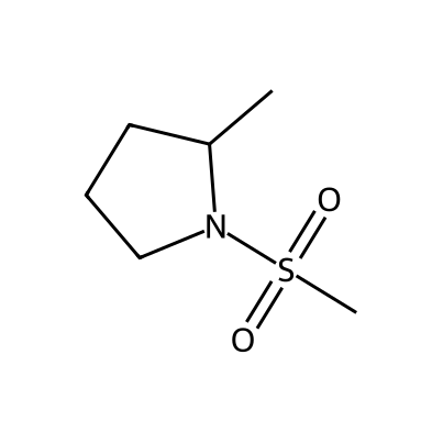 CC1CCCN1S(C)(=O)=O